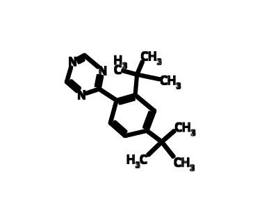 CC(C)(C)c1ccc(-c2ncncn2)c(C(C)(C)C)c1